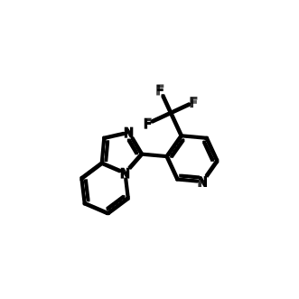 FC(F)(F)c1ccncc1-c1ncc2ccccn12